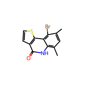 Cc1cc(C)c2[nH]c(=O)c3ccsc3c2c1Br